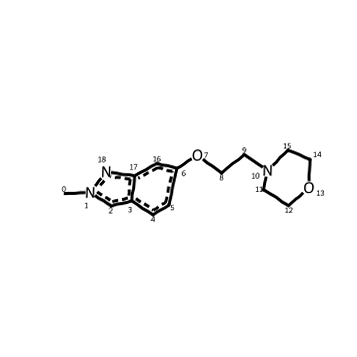 Cn1cc2ccc(OCCN3CCOCC3)cc2n1